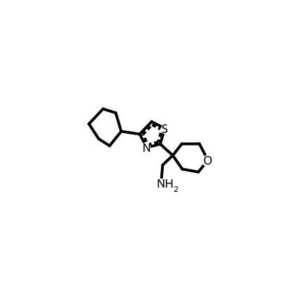 NCC1(c2nc(C3CCCCC3)cs2)CCOCC1